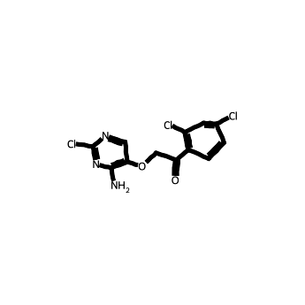 Nc1nc(Cl)ncc1OCC(=O)c1ccc(Cl)cc1Cl